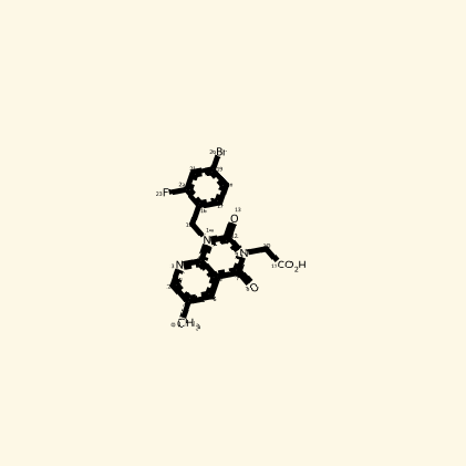 Cc1cnc2c(c1)c(=O)n(CC(=O)O)c(=O)n2Cc1ccc(Br)cc1F